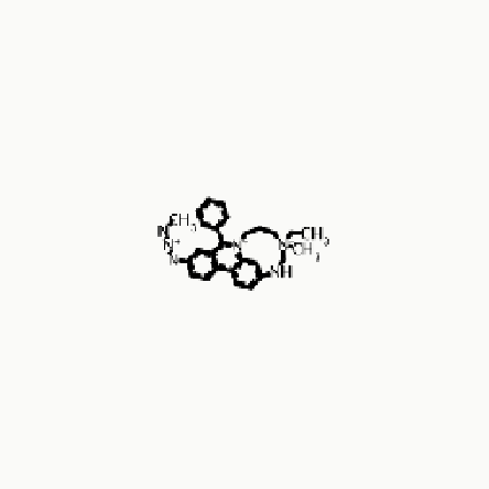 CC[N+]1(C)CCC[n+]2c(-c3ccccc3)c3cc(N=[N+]=NC)ccc3c3ccc(cc32)NC1